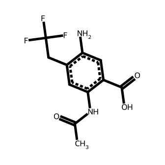 CC(=O)Nc1cc(CC(F)(F)F)c(N)cc1C(=O)O